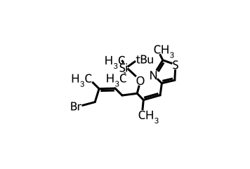 CC(=CCC(O[Si](C)(C)C(C)(C)C)C(C)=Cc1csc(C)n1)CBr